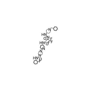 O=C(Nc1ccc(N2CCN(C(=O)Nc3ccccc3F)CC2)nc1)c1oc(NC2CCN(Cc3ccccc3)CC2)nc1C(F)(F)F